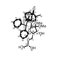 COC1(OC)[C@H](O)[C@@H](COP(N)O)O[C@]1(n1cc(C)c(=O)[nH]c1=O)C(c1ccccc1)(c1ccccc1)c1ccccc1